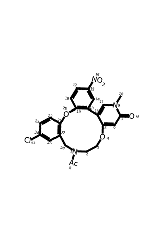 CC(=O)N1CCOc2cc(=O)n(C)cc2-c2cc([N+](=O)[O-])ccc2Oc2ccc(Cl)cc2C1